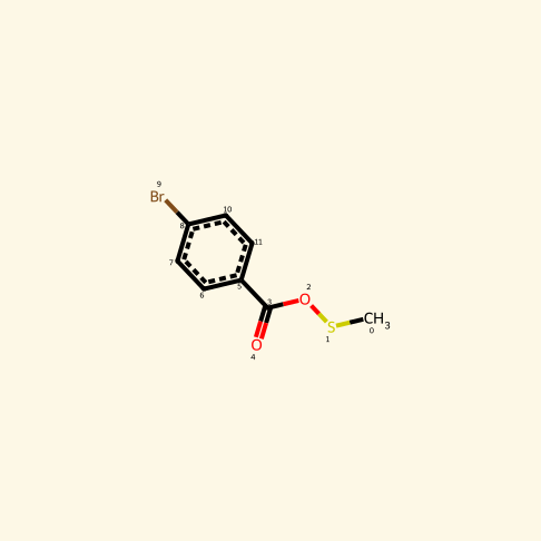 CSOC(=O)c1ccc(Br)cc1